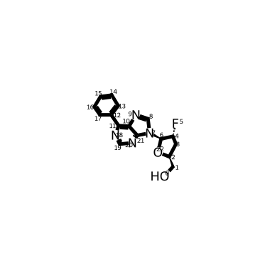 OC[C@@H]1C[C@@H](F)[C@H](n2cnc3c(-c4ccccc4)ncnc32)O1